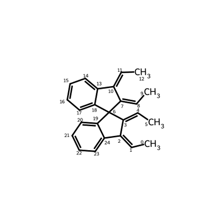 C/C=C1\C(=C/C)C2(C(=C/C)/C(=C\C)c3ccccc32)c2ccccc21